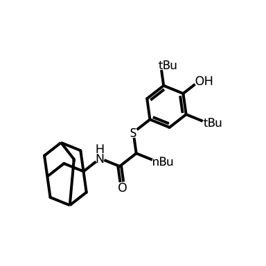 CCCCC(Sc1cc(C(C)(C)C)c(O)c(C(C)(C)C)c1)C(=O)NC12CC3CC(CC(C3)C1)C2